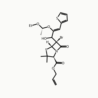 C=CCOC(=O)[C@@H]1N2C(=O)[C@@](Br)(C(O)C(=Cc3cccs3)O[C@H](C)OCC)[C@H]2SC1(C)C